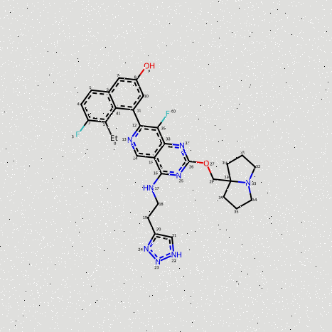 CCc1c(F)ccc2cc(O)cc(-c3ncc4c(NCCc5c[nH]nn5)nc(OCC56CCCN5CCC6)nc4c3F)c12